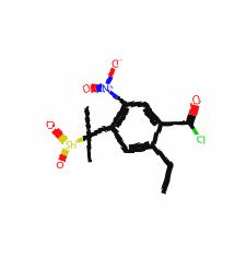 CCc1cc(C(C)(C)[SH](=O)=O)c([N+](=O)[O-])cc1C(=O)Cl